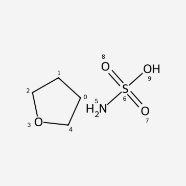 C1CCOC1.NS(=O)(=O)O